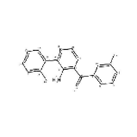 Cc1cccc(C(=O)c2ccnc(-c3ccccc3C)c2N)c1